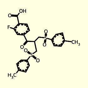 Cc1ccc(S(=O)(=O)CC(CS(=O)(=O)c2ccc(C)cc2)C(=O)c2ccc(C(=O)O)c(F)c2)cc1